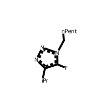 CCCCCCn1nnc(C(C)C)c1F